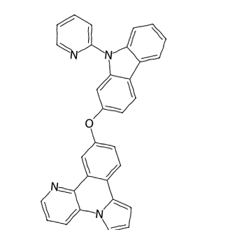 c1ccc(-n2c3ccccc3c3ccc(Oc4ccc5c(c4)c4ncccc4n4cccc54)cc32)nc1